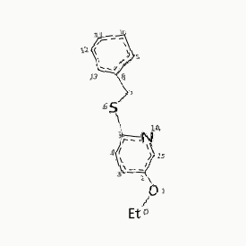 CCOc1ccc(SCc2ccccc2)nc1